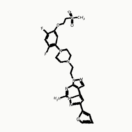 CS(=O)(=O)CCOc1cc(N2CCN(CCn3ncc4c3nc(N)n3nc(-c5ccco5)cc43)CC2)c(F)cc1F